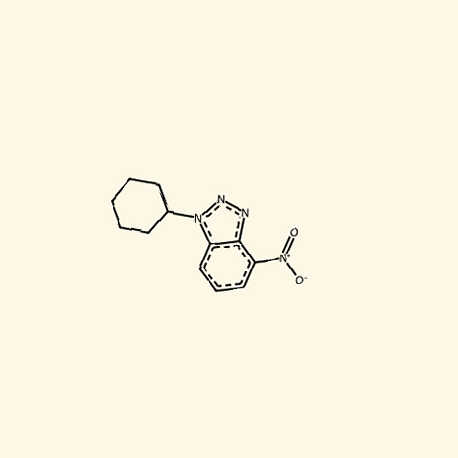 O=[N+]([O-])c1cccc2c1nnn2C1CCCCC1